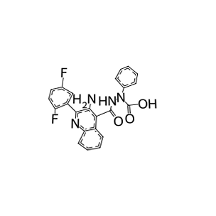 Nc1c(-c2cc(F)ccc2F)nc2ccccc2c1C(=O)NN(C(=O)O)c1ccccc1